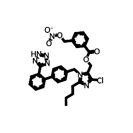 CCCCc1nc(Cl)c(COC(=O)c2cccc(CO[N+](=O)[O-])c2)n1Cc1ccc(-c2ccccc2-c2nn[nH]n2)cc1